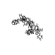 O=C(Cc1ccccc1)Nc1cccc(-c2nc3sccn3c2-c2ccnc(Nc3cccc(S(=O)(=O)NCCN4CCOCC4)c3)n2)c1